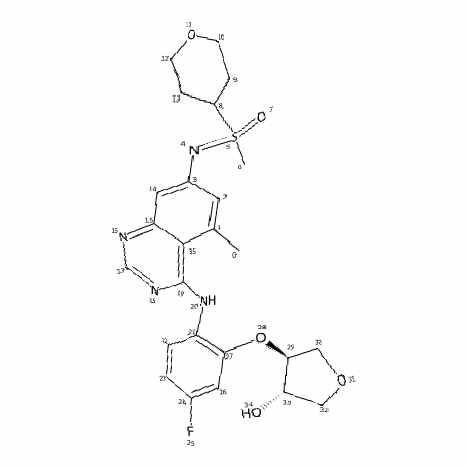 Cc1cc(N=S(C)(=O)C2CCOCC2)cc2ncnc(Nc3ccc(F)cc3O[C@H]3COC[C@@H]3O)c12